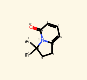 CC(C)C1(C(C)C)CCc2cccc(=O)n21